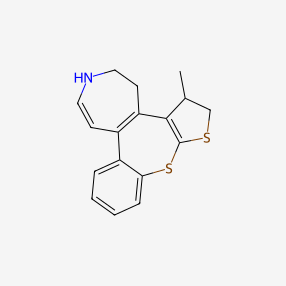 CC1CSC2=C1C1=C(C=CNCC1)c1ccccc1S2